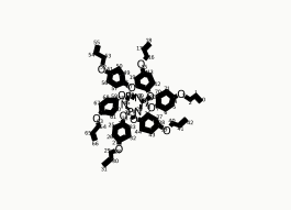 C=CCOc1ccc(OP2(Oc3ccc(OCC=C)cc3)=NP(Oc3ccc(OCC=C)cc3)(Oc3ccc(OCC=C)cc3)=NP(Oc3ccc(OCC=C)cc3)(Oc3ccc(OCC=C)cc3)=N2)cc1